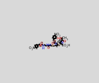 C[C@@H](O)[C@H]1C(=O)N2C(C(=O)O)=C(S[C@H]3C[C@@H](CSCCC(=O)NCCNC(=O)OCc4ccc([N+](=O)[O-])cc4)N(C(=O)OCc4ccc([N+](=O)[O-])cc4)C3)[C@H](C)[C@H]12